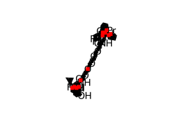 CC(C)c1nnc(CCNC(=O)CCOCCOCCOCCOCCOCCC(=O)N[C@@H]2CC[C@@]3(O)[C@H]4Cc5ccc(O)c6c5[C@@]3(CCN4CC3CC3)[C@H]2O6)n1C1CC2CCC(C1)N2CC[C@H](NC(=O)C1CCC(F)(F)CC1)c1ccccc1